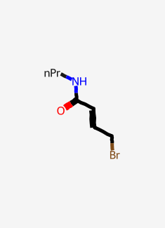 CCCNC(=O)/C=C/CBr